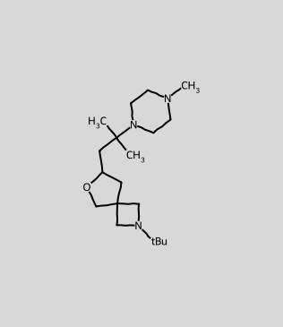 CN1CCN(C(C)(C)CC2CC3(CO2)CN(C(C)(C)C)C3)CC1